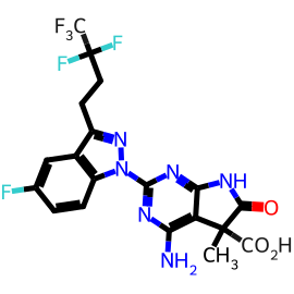 CC1(C(=O)O)C(=O)Nc2nc(-n3nc(CCC(F)(F)C(F)(F)F)c4cc(F)ccc43)nc(N)c21